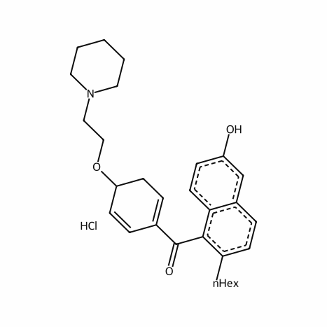 CCCCCCc1ccc2cc(O)ccc2c1C(=O)C1=CCC(OCCN2CCCCC2)C=C1.Cl